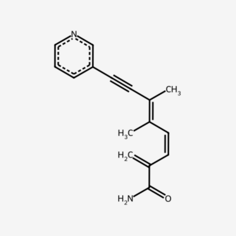 C=C(/C=C\C(C)=C(/C)C#Cc1cccnc1)C(N)=O